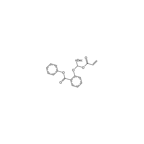 C=CC(=O)OC(CCCCCCCCCC)Oc1ccccc1C(=O)Oc1[c]cccc1